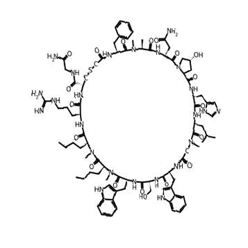 CCCC[C@H]1C(=O)N(C)[C@@H](CCCC)C(=O)N[C@@H](CCCNC(=N)N)C(=O)N[C@H](C(=O)NCC(N)=O)CSCC(=O)N[C@@H](Cc2ccccc2)C(=O)N(C)[C@@H](C)C(=O)N[C@@H](CC(N)=O)C(=O)N2C[C@H](O)CC2C(=O)N[C@@H](Cc2cnc[nH]2)C(=O)N[C@@H](CC(C)C)C(=O)N(C)CC(=O)N[C@@H](Cc2c[nH]c3ccccc23)C(=O)N[C@@H](CO)C(=O)N[C@@H](Cc2c[nH]c3ccccc23)C(=O)N1C